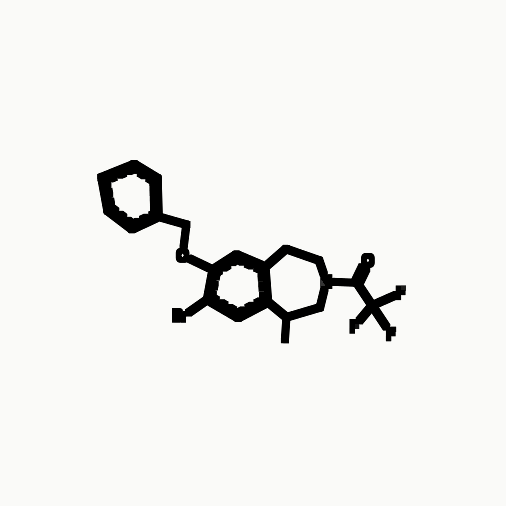 CC1CN(C(=O)C(F)(F)F)CCc2cc(OCc3ccccc3)c(Br)cc21